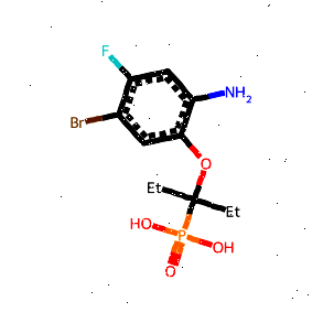 CCC(CC)(Oc1cc(Br)c(F)cc1N)P(=O)(O)O